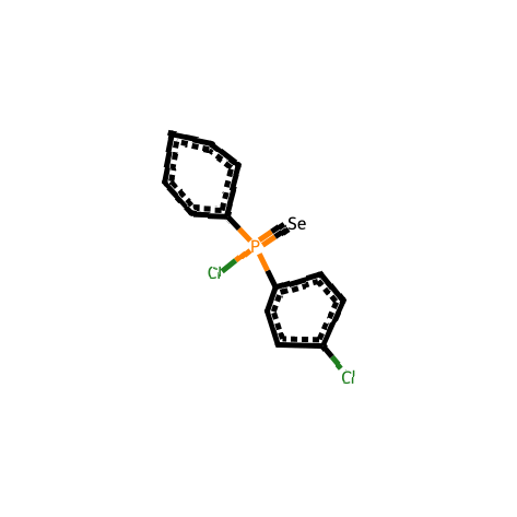 Clc1ccc(P(Cl)(=[Se])c2ccccc2)cc1